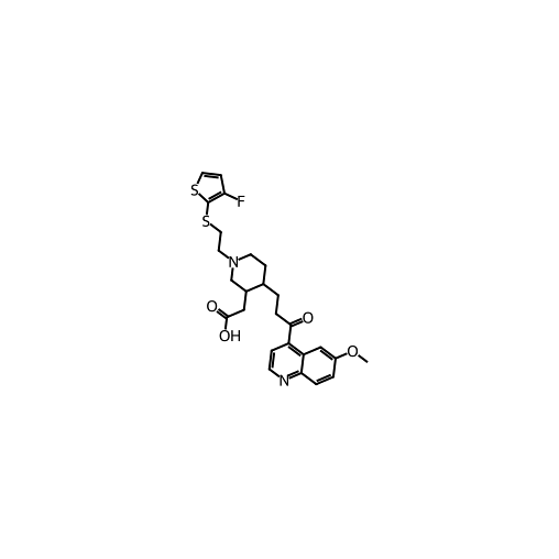 COc1ccc2nccc(C(=O)CCC3CCN(CCSc4sccc4F)CC3CC(=O)O)c2c1